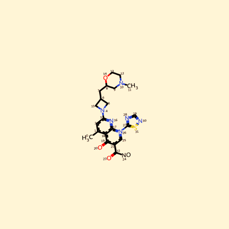 Cc1cc(N2CC(CC3CN(C)CCO3)C2)nc2c1c(=O)c(C(=O)N=O)cn2-c1ncns1